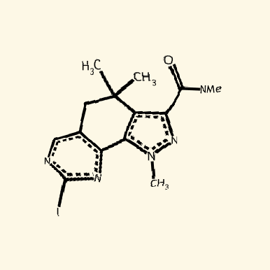 CNC(=O)c1nn(C)c2c1C(C)(C)Cc1cnc(I)nc1-2